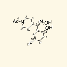 CC(=O)N1CCC(C(=NO)c2cc(F)ccc2O)CC1